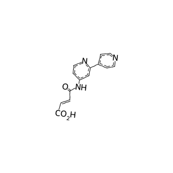 O=C(O)/C=C/C(=O)Nc1ccnc(-c2ccncc2)c1